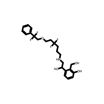 OCc1c(O)cccc1C(O)CNCCCC(F)(F)CCOCC(F)(F)c1ccccc1